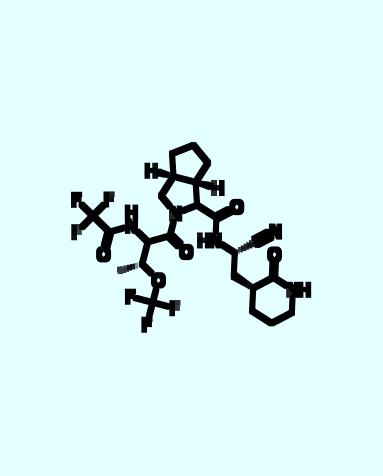 C[C@@H](OC(F)(F)F)C(NC(=O)C(F)(F)F)C(=O)N1C[C@@H]2CCC[C@@H]2C1C(=O)N[C@H](C#N)C[C@@H]1CCCNC1=O